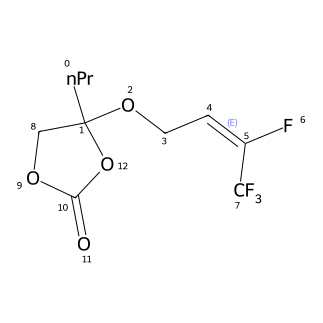 CCCC1(OC/C=C(/F)C(F)(F)F)COC(=O)O1